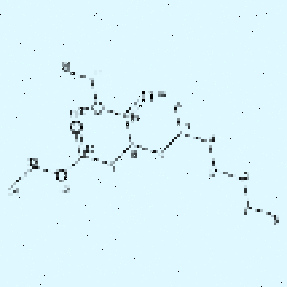 CCCCCC(C)CC(CC(=O)OCC)C(=O)OCC